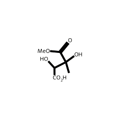 COC(=O)C(C)(O)C(O)C(=O)O